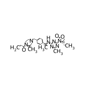 C=CC(=O)N1CCN(Cc2ccc([C@H](C)Nc3nc(C)nc(N4C(=O)OC[C@@H]4CC)n3)cc2)C[C@H]1C